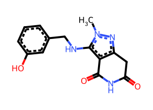 Cn1nc2c(c1NCc1cccc(O)c1)C(=O)NC(=O)C2